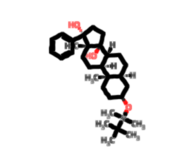 CC(C)(C)[Si](C)(C)O[C@H]1CC[C@@]2(C)[C@@H](CC[C@@H]3[C@@H]2CC[C@]2(C)[C@@](O)(c4ccccc4)CC[C@]32O)C1